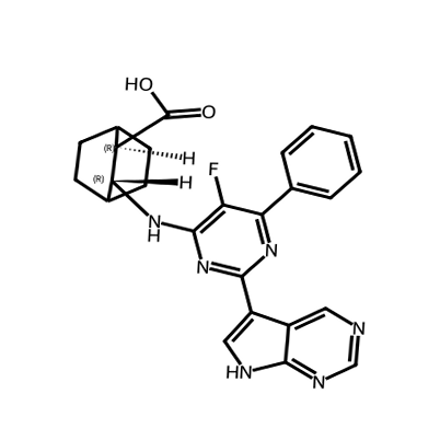 O=C(O)[C@@H]1C2CCC(CC2)[C@H]1Nc1nc(-c2c[nH]c3ncncc23)nc(-c2ccccc2)c1F